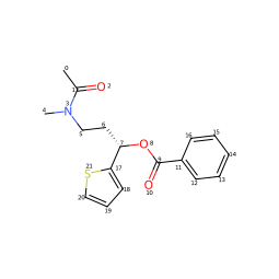 CC(=O)N(C)CC[C@H](OC(=O)c1ccccc1)c1cccs1